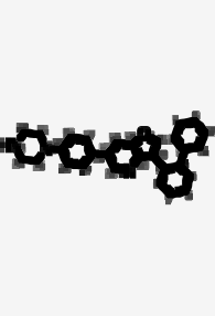 c1ccc(-c2ccccc2-c2coc3cc(-c4ccc(N5CCNCC5)cc4)cnc23)cc1